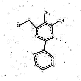 Cc1c(O)nc(-c2ccccc2)nc1CCl